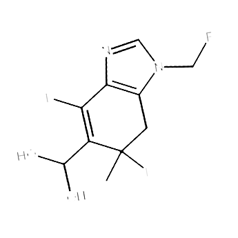 CC1(F)Cc2c(ncn2CF)C(F)=C1C(O)O